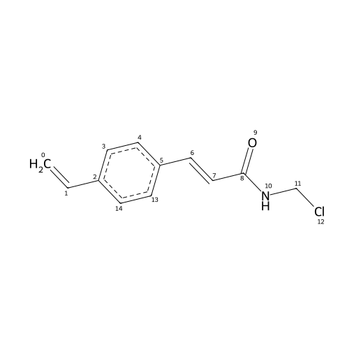 C=Cc1ccc(C=CC(=O)NCCl)cc1